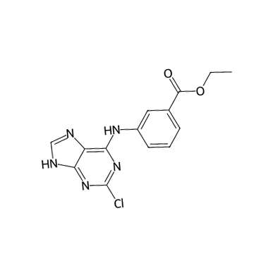 CCOC(=O)c1cccc(Nc2nc(Cl)nc3[nH]cnc23)c1